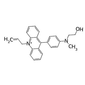 C=CC[n+]1c2ccccc2c(-c2ccc(N(C)CCO)cc2)c2ccccc21